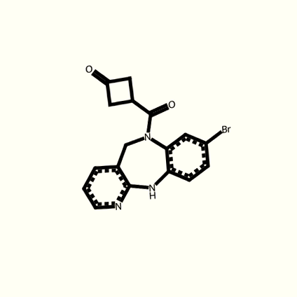 O=C1CC(C(=O)N2Cc3cccnc3Nc3ccc(Br)cc32)C1